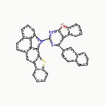 c1ccc2cc(-c3nc(-n4c5cccc6ccc7cc8c9ccccc9sc8c4c7c65)nc4oc5ccccc5c34)ccc2c1